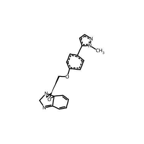 Cn1nccc1-c1ccc(OC[C@@H]2CN3CN=C4C=CC=CC43O2)cc1